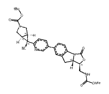 COC(=O)NC[C@@H]1OC(=O)N2c3ccc(-c4ccc([C@@]5(C#N)[C@@H]6CN(C(=O)OC(C)(C)C)C[C@@H]65)nc4)cc3C[C@@H]12